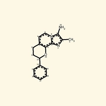 Cc1nc2c3c(ccn2c1N)CCC(c1ccccc1)O3